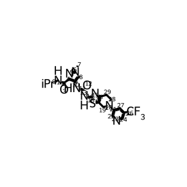 CC(C)NC(=O)c1nn(C)cc1NC(=O)Nc1nc2c(s1)CN(c1cncc(C(F)(F)F)c1)CC2